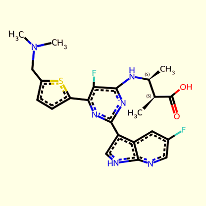 C[C@H](Nc1nc(-c2c[nH]c3ncc(F)cc23)nc(-c2ccc(CN(C)C)s2)c1F)[C@H](C)C(=O)O